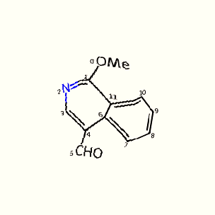 COc1ncc(C=O)c2ccccc12